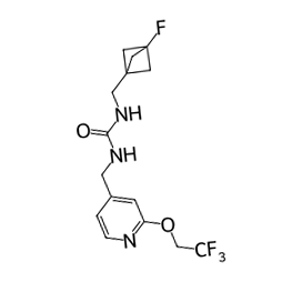 O=C(NCc1ccnc(OCC(F)(F)F)c1)NCC12CC(F)(C1)C2